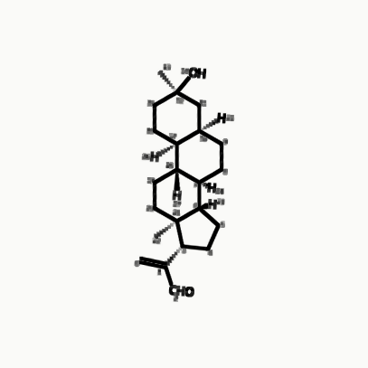 C=C(C=O)[C@H]1CC[C@H]2[C@@H]3CC[C@@H]4C[C@](C)(O)CC[C@@H]4[C@H]3CC[C@]12C